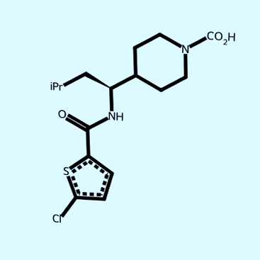 CC(C)C[C@H](NC(=O)c1ccc(Cl)s1)C1CCN(C(=O)O)CC1